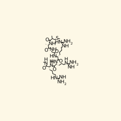 CNC(=O)[C@@H](CCCCNC(=N)N)NC(=O)[C@@H](CCCNC(=N)N)NC(=O)[C@@H](CCCCNC(=N)N)NC(=O)CNC(=O)[C@H](C)NC(=O)C(C)CSC